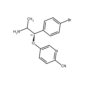 CC(N)[C@H](Oc1ccc(C#N)nc1)c1ccc(Br)cc1